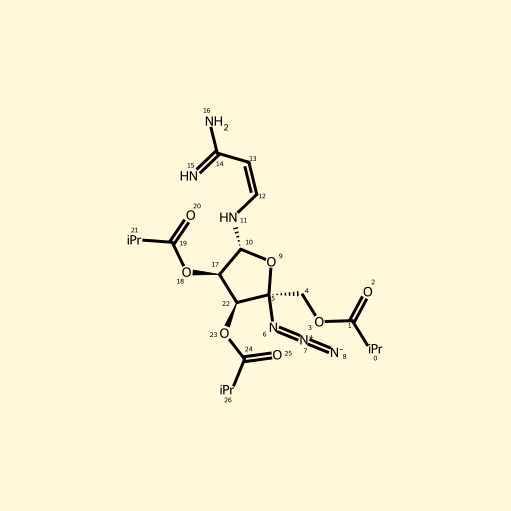 CC(C)C(=O)OC[C@@]1(N=[N+]=[N-])O[C@@H](N/C=C\C(=N)N)[C@H](OC(=O)C(C)C)[C@@H]1OC(=O)C(C)C